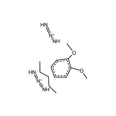 CCCCC.COc1ccccc1OC.N=[N+]=N.N=[N+]=N